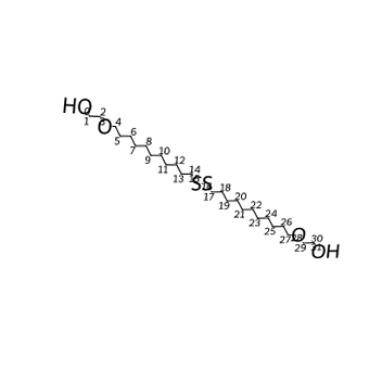 OCCOCCCCCCCCCCCSSCCCCCCCCCCCOCCO